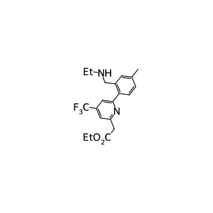 CCNCc1cc(C)ccc1-c1cc(C(F)(F)F)cc(CC(=O)OCC)n1